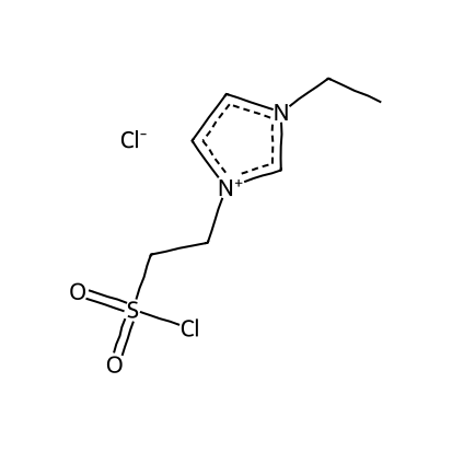 CCn1cc[n+](CCS(=O)(=O)Cl)c1.[Cl-]